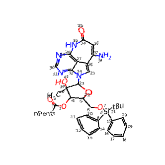 CCCCCC(=O)OC1C(CO[Si](c2ccccc2)(c2ccccc2)C(C)(C)C)OC(n2cc3c4c(ncnc42)NC(=O)C=C3N)C1(C)O